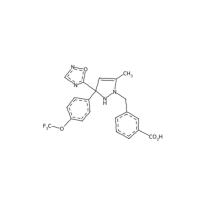 CC1=CC(c2ccc(OC(F)(F)F)cc2)(c2ncno2)NN1Cc1cccc(C(=O)O)c1